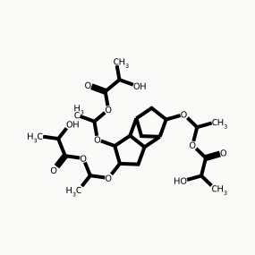 CC(OC(=O)C(C)O)OC1CC2CC1C1CC(OC(C)OC(=O)C(C)O)C(OC(C)OC(=O)C(C)O)C21